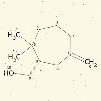 C=C1CC[CH]C(C)(C)[C@@H](CO)C1